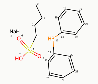 CCCCS(=O)(=O)O.[NaH].c1ccc(Pc2ccccc2)cc1